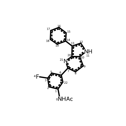 CC(=O)Nc1cc(F)cc(-c2ccc3[nH]cc(-c4ccccc4)c3n2)c1